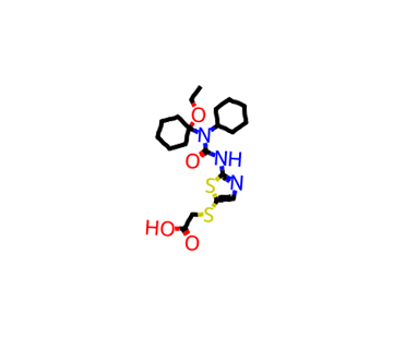 CCOC1(N(C(=O)Nc2ncc(SCC(=O)O)s2)C2CCCCC2)CCCCC1